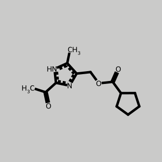 CC(=O)c1nc(COC(=O)C2CCCC2)c(C)[nH]1